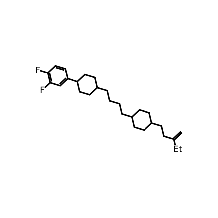 C=C(CC)CCC1CCC(CCCCC2CCC(c3ccc(F)c(F)c3)CC2)CC1